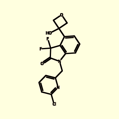 O=C1N(Cc2cccc(Cl)n2)c2cccc(C3(O)COC3)c2C1(F)F